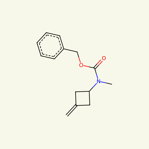 C=C1CC(N(C)C(=O)OCc2ccccc2)C1